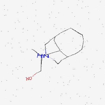 CC(CO)C1C2CCCC1CNC2